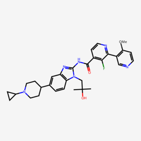 COc1ccncc1-c1nccc(C(=O)Nc2nc3cc(C4CCN(C5CC5)CC4)ccc3n2CC(C)(C)O)c1F